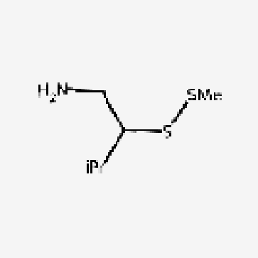 CSSC(CN)C(C)C